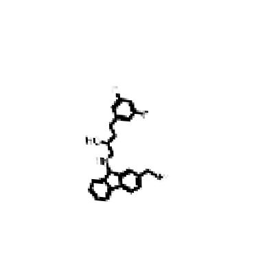 CC(C)Cc1ccc2c(c1)C(NCC(O)CCc1cc(F)cc(F)c1)c1ccccc1-2